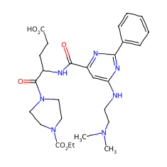 CCOC(=O)N1CCN(C(=O)C(CCC(=O)O)NC(=O)c2cc(NCCN(C)C)nc(-c3ccccc3)n2)CC1